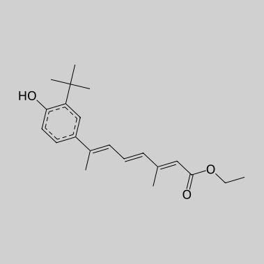 CCOC(=O)/C=C(\C)C=CC=C(C)c1ccc(O)c(C(C)(C)C)c1